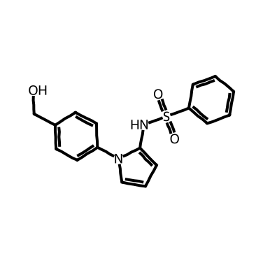 O=S(=O)(Nc1cccn1-c1ccc(CO)cc1)c1ccccc1